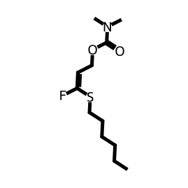 CCCCCCS/C(F)=C\COC(=O)N(C)C